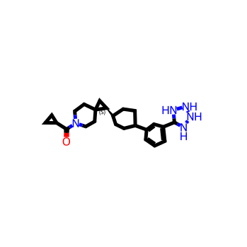 O=C(C1CC1)N1CCC2(CC1)C[C@H]2C1CCC(c2cccc(C3NNNN3)c2)CC1